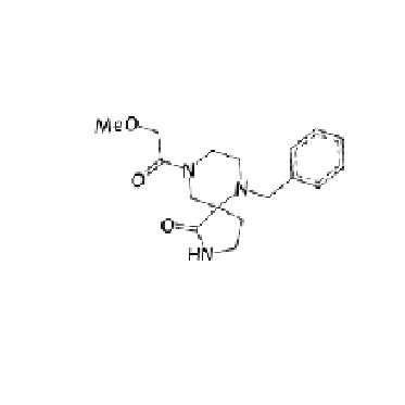 COCC(=O)N1CCN(Cc2ccccc2)C2(CCNC2=O)C1